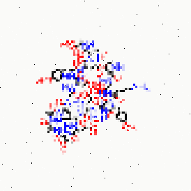 CC(C)[C@H](NC(=O)[C@H](CCC(=O)O)NC(=O)[C@H](Cc1ccc(O)cc1)NC(=O)[C@H](CC(=O)O)NC(=O)CNC(=O)[C@@H]1CCCN1C(=O)[C@H](C)NC(=O)[C@H](C)NC(=O)[C@@H](NC(=O)[C@H](CCC(=O)O)NC(=O)[C@@H](NC(=O)[C@H](CCC(=O)O)NC(=O)[C@@H](NC(=O)[C@H](Cc1ccc(O)cc1)NC(=O)[C@H](CCCCN)NC(=O)CNC(=O)[C@@H]1CCCN1)[C@@H](C)O)C(C)C)[C@@H](C)O)C(=O)N[C@@H](C)C(=O)O